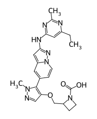 CCc1cc(Nc2cc3cc(-c4c(OCC5CCN5C(=O)O)cnn4C)ccn3n2)nc(C)n1